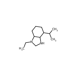 CCN1CNC2C(C(C)C)CCCC21